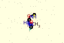 Cn1c(=O)c(Nc2ccc(C(=O)NCc3cccs3)cc2)nc2cc(F)ccc21